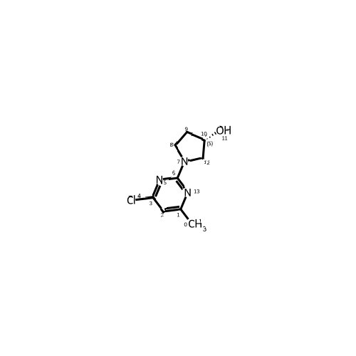 Cc1cc(Cl)nc(N2CC[C@H](O)C2)n1